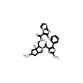 Cc1nc(C(=O)N2CC3CC(C)C[C@@H]3C2CNC(=O)c2c(C)nc3sccn23)c(-c2ccccc2)s1